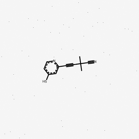 CC(C)(C#N)C#Cc1cc(S)ccn1